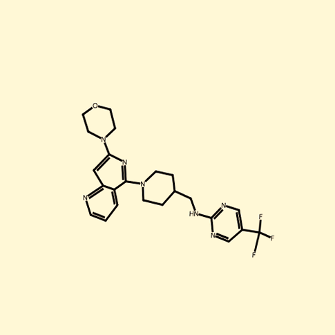 FC(F)(F)c1cnc(NCC2CCN(c3nc(N4CCOCC4)cc4ncccc34)CC2)nc1